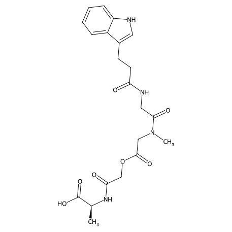 C[C@H](NC(=O)COC(=O)CN(C)C(=O)CNC(=O)CCc1c[nH]c2ccccc12)C(=O)O